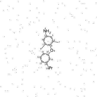 Cc1cc(N)cc(C)c1Oc1cccc(C(C)C)c1